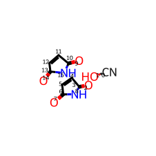 N#CO.O=C1C=CC(=O)N1.O=C1C=CC(=O)N1